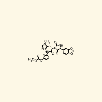 COC(=O)Oc1csc(NC(=O)[C@H](Cc2cncn2C)N2C(=O)NC(c3ccc4c(c3)OCO4)C2=O)n1